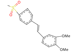 COc1ccc(C=Cc2ccc(S(C)(=O)=O)cc2)cc1OC